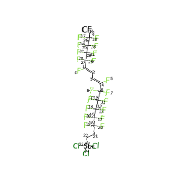 F/C(=C\C=C(/F)C(F)(F)C(F)(F)C(F)(F)C(F)(F)C(F)(F)CC[Si](Cl)(Cl)Cl)C(F)(F)C(F)(F)C(F)(F)C(F)(F)C(F)(F)F